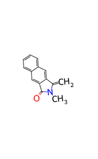 C=C1c2cc3ccccc3cc2C(=O)N1C